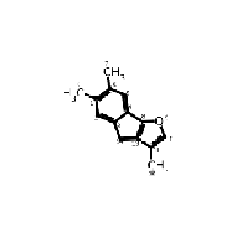 Cc1cc2c(cc1C)-c1occ(C)c1C2